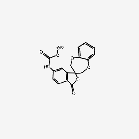 CC(C)(C)OC(=O)Nc1ccc2c(c1)C1(COc3ccccc3OC1)OC2=O